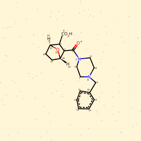 O=C(O)C1C(C(=O)N2CCN(Cc3ccccc3)CC2)[C@@H]2CC[C@@H]1O2